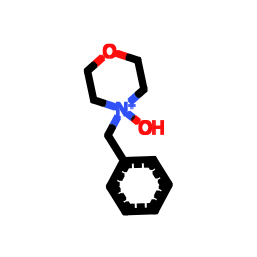 O[N+]1(Cc2ccccc2)CCOCC1